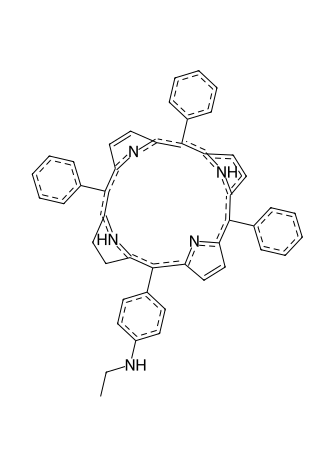 CCNc1ccc(-c2c3nc(c(-c4ccccc4)c4ccc([nH]4)c(-c4ccccc4)c4nc(c(-c5ccccc5)c5[nH]c2CC5)C=C4)C=C3)cc1